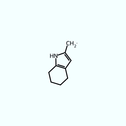 [CH2]c1cc2c([nH]1)CCCC2